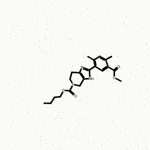 CCCCOC(=O)N1CCc2nc(-c3cc(C(=O)OC)c(C)cc3C)[nH]c2C1